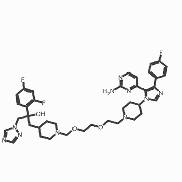 Nc1nccc(-c2c(-c3ccc(F)cc3)ncn2C2CCN(CCOCCOCN3CCC(CC(O)(Cn4cncn4)c4ccc(F)cc4F)CC3)CC2)n1